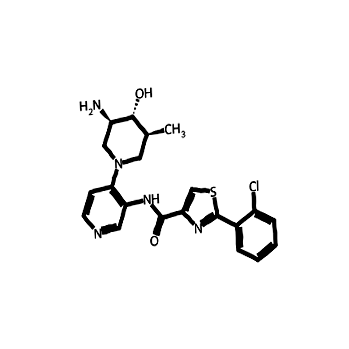 C[C@H]1CN(c2ccncc2NC(=O)c2csc(-c3ccccc3Cl)n2)C[C@@H](N)[C@@H]1O